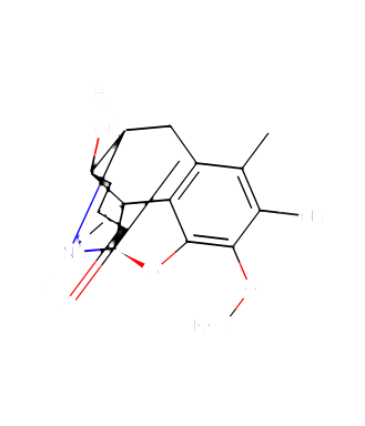 CCCc1c(C)c2c3c(c1OS(=O)(=O)O)O[C@@]14C(=O)CCC5(O)[C@@H](C2)[N@@+]1(C)CC[C@@]354